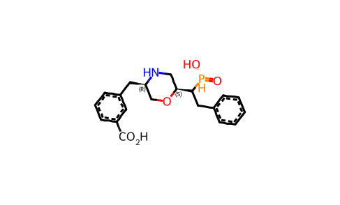 O=C(O)c1cccc(C[C@@H]2CO[C@H](C(Cc3ccccc3)[PH](=O)O)CN2)c1